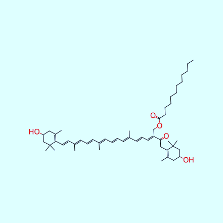 CCCCCCCCCCCC(=O)OC\C(=C/C=C/C(C)=C/C=C/C=C(C)/C=C/C=C(C)/C=C/C1=C(C)CC(O)CC1(C)C)C(=O)CC1=C(C)CC(O)CC1(C)C